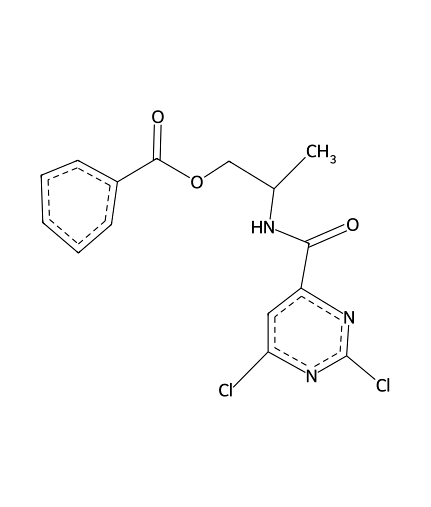 CC(COC(=O)c1ccccc1)NC(=O)c1cc(Cl)nc(Cl)n1